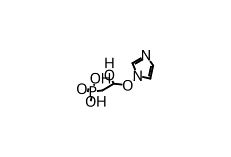 O=P(O)(O)CC(O)On1ccnc1